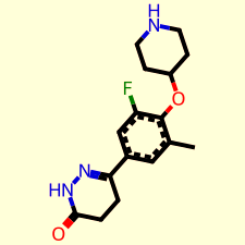 Cc1cc(C2=NNC(=O)CC2)cc(F)c1OC1CCNCC1